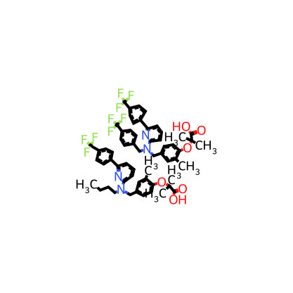 CCCCN(Cc1ccc(OC(C)(C)C(=O)O)c(C)c1)c1cccc(-c2ccc(C(F)(F)F)cc2)n1.Cc1cc(CN(Cc2ccc(C(F)(F)F)cc2)c2cccc(-c3ccc(C(F)(F)F)cc3)n2)ccc1OC(C)(C)C(=O)O